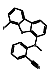 CN(c1ccccc1C#N)c1cccc2c1sc1c(F)cccc12